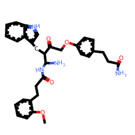 COc1ccccc1CCC(=O)NC(N)C(Cc1c[nH]c2ccccc12)C(=O)COc1ccc(CCC(N)=O)cc1